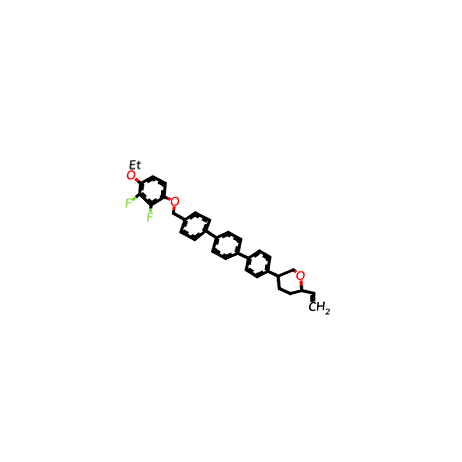 C=CC1CCC(c2ccc(-c3ccc(-c4ccc(COc5ccc(OCC)c(F)c5F)cc4)cc3)cc2)CO1